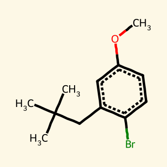 COc1ccc(Br)c(CC(C)(C)C)c1